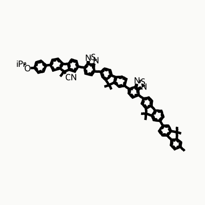 Cc1ccc2c(c1)C(C)(C)c1cc(-c3ccc4c(c3)C(C)(C)c3cc(-c5ccc(-c6ccc7c(c6)C(C)(C)c6cc(-c8ccc(-c9ccc%10c(c9)C(C)(C#N)c9cc(-c%11ccc(OC(C)C)cc%11)ccc9-%10)c9nsnc89)ccc6-7)c6nsnc56)ccc3-4)ccc1-2